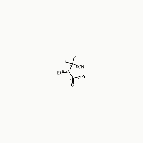 CCN(C(=O)C(C)C)C(C)(C)C#N